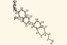 CCCCC1CCc2cc(-c3ccc4c(F)c(N=C=S)ccc4c3)ccc2C1